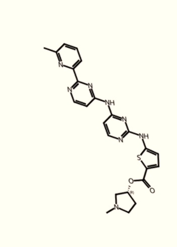 Cc1cccc(-c2nccc(Nc3ccnc(Nc4ccc(C(=O)O[C@@H]5CCN(C)C5)s4)n3)n2)n1